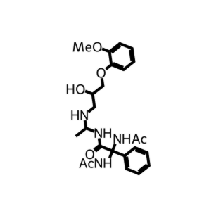 COc1ccccc1OCC(O)CNC(C)NC(=O)C(NC(C)=O)(NC(C)=O)c1ccccc1